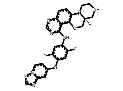 Fc1cc(Oc2ccn3ncnc3c2)c(F)cc1Nc1ncnc2ccc3c(c12)OC[C@@H]1CNCCN31